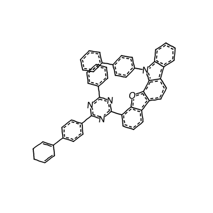 C1=CC(c2ccc(-c3nc(-c4ccccc4)nc(-c4cccc5c4oc4c5ccc5c6ccccc6n(-c6ccc(-c7ccccc7)cc6)c54)n3)cc2)=CCC1